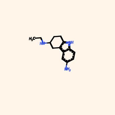 CCNC1CCc2[nH]c3ccc(N)cc3c2C1